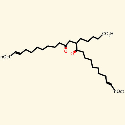 CCCCCCCCC=CCCCCCCCC(=O)CC(CCCCC(=O)O)C(=O)CCCCCCCC=CCCCCCCCC